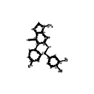 Cn1cnc2c(=O)n(-c3ccc(Cl)cc3)c(SCc3ccc(Cl)c(Cl)c3)nc21